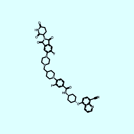 N#Cc1ccc(O[C@H]2CC[C@H](NC(=O)c3ccc(N4CCC(CN5CCN(c6cc7c(cc6F)C(=O)N(C6CCC(=O)NC6=O)C7=O)CC5)CC4)c(F)c3)CC2)c2cccnc12